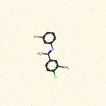 C/C(=N\c1cccc(Br)c1)c1ccc(Cl)c(C)c1